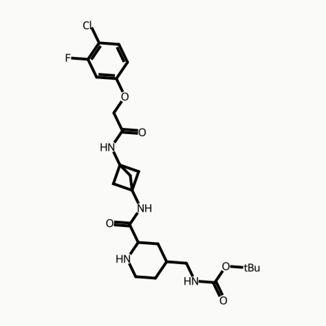 CC(C)(C)OC(=O)NCC1CCNC(C(=O)NC23CC(NC(=O)COc4ccc(Cl)c(F)c4)(C2)C3)C1